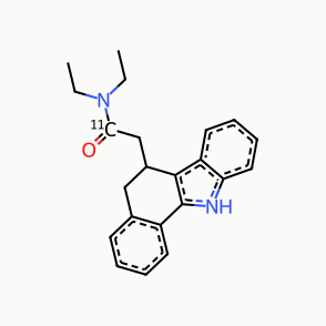 CCN(CC)[11C](=O)CC1Cc2ccccc2-c2[nH]c3ccccc3c21